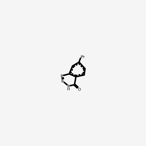 CC(C)c1ccc2c(c1)B=BBC2=O